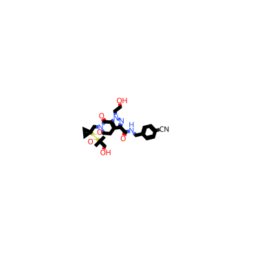 CC(C)(CO)S(=O)(=O)C1(CN2CCc3c(C(=O)NCc4ccc(C#N)cc4)nn(CCO)c3C2=O)CC1